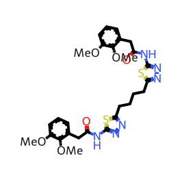 COc1cccc(CC(=O)Nc2nnc(CCCCc3nnc(NC(=O)Cc4cccc(OC)c4OC)s3)s2)c1OC